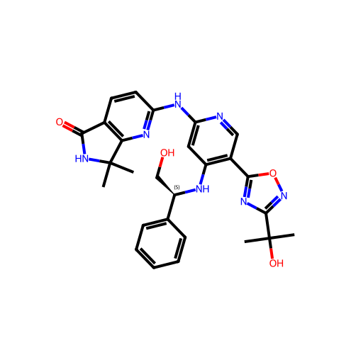 CC(C)(O)c1noc(-c2cnc(Nc3ccc4c(n3)C(C)(C)NC4=O)cc2N[C@H](CO)c2ccccc2)n1